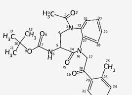 CC(=O)N1CC(NC(=O)OC(C)(C)C)C(=O)N(CC(=O)c2ccccc2C)c2ccccc21